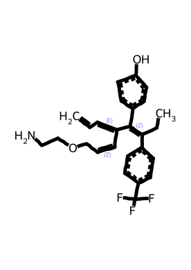 C=C/C=C(\C=C/COCCN)C(=C(/CC)c1ccc(C(F)(F)F)cc1)/c1ccc(O)cc1